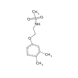 Cc1ccc(OCCNS(C)(=O)=O)cc1C